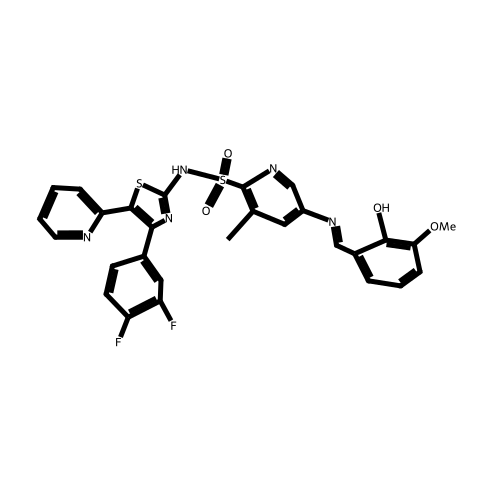 COc1cccc(C=Nc2cnc(S(=O)(=O)Nc3nc(-c4ccc(F)c(F)c4)c(-c4ccccn4)s3)c(C)c2)c1O